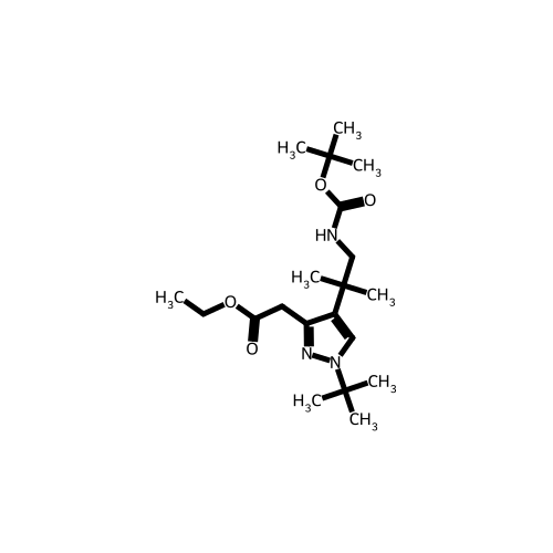 CCOC(=O)Cc1nn(C(C)(C)C)cc1C(C)(C)CNC(=O)OC(C)(C)C